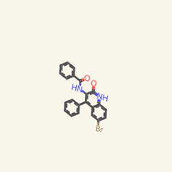 O=C(Nc1c(-c2ccccc2)c2cc(Br)ccc2[nH]c1=O)c1ccccc1